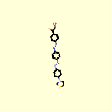 O=C(CO)c1ccc(N=Nc2ccc(N=Nc3ccc(N4CCSC4)cc3)cc2)cc1